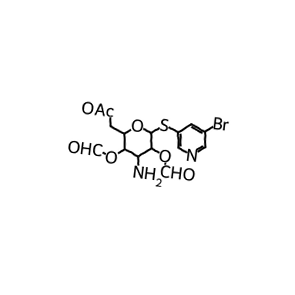 CC(=O)OCC1OC(Sc2cncc(Br)c2)C(OC=O)C(N)C1OC=O